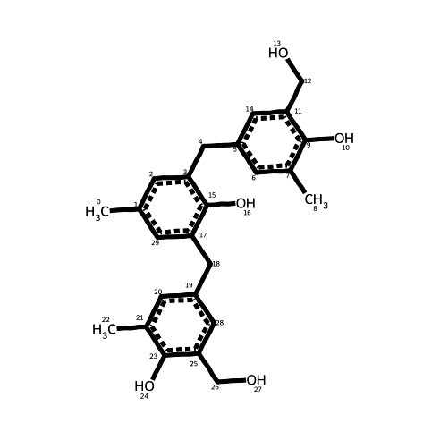 Cc1cc(Cc2cc(C)c(O)c(CO)c2)c(O)c(Cc2cc(C)c(O)c(CO)c2)c1